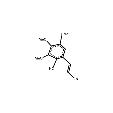 COc1cc(C=CC#N)c(C#N)c(OC)c1OC